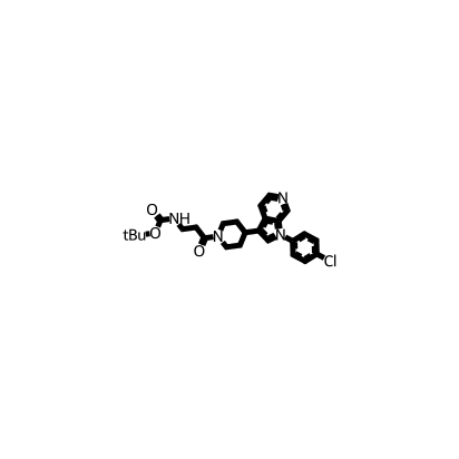 CC(C)(C)OC(=O)NCCC(=O)N1CCC(c2cn(-c3ccc(Cl)cc3)c3cnccc23)CC1